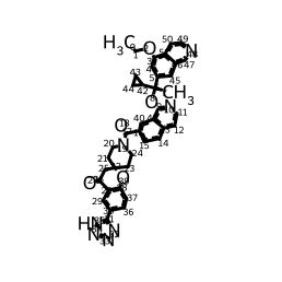 CCOc1cc(C(C)(Oc2nccc3ccc(C(=O)N4CCC5(CC4)CC(=O)c4cc(-c6nnn[nH]6)ccc4O5)cc23)C2CC2)cc2cnccc12